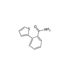 NC(=O)c1ccccc1-c1cccs1